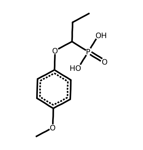 CCC(Oc1ccc(OC)cc1)P(=O)(O)O